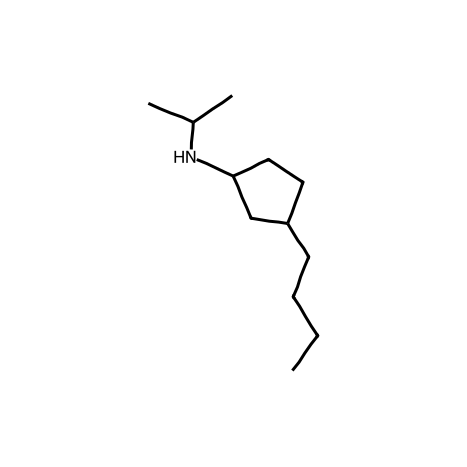 CCCCC1CCC(NC(C)C)C1